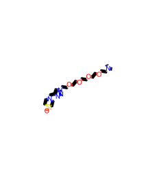 CN(C)CCOCCOCCOCCOCCn1cc(CN2CC[S+]([O-])CC2)nn1